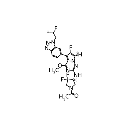 [2H]c1c(F)c(-c2ccc3nnn(CC(F)F)c3c2)c2c(OC)nc(N[C@@H]3CN(C(C)=O)CC3(F)F)nn12